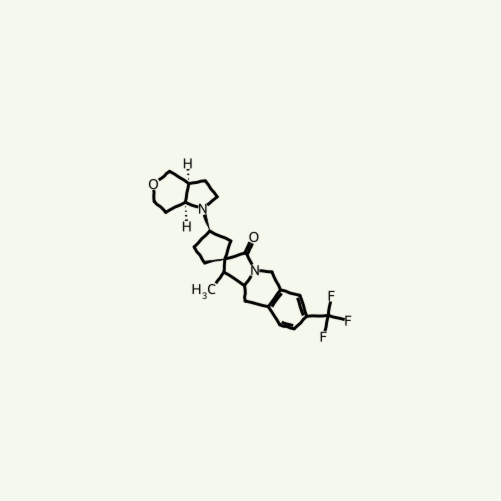 CC1C2Cc3ccc(C(F)(F)F)cc3CN2C(=O)[C@]12CC[C@@H](N1CC[C@@H]3COCC[C@@H]31)C2